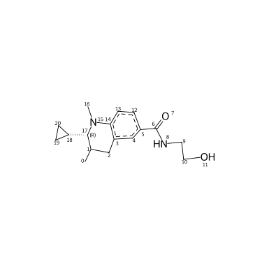 CC1Cc2cc(C(=O)NCCO)ccc2N(C)[C@H]1C1CC1